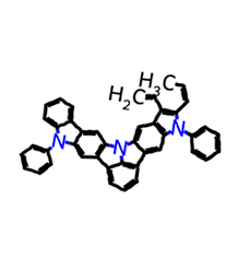 C=Cc1c(/C=C\C)n(-c2ccccc2)c2cc3c4cccc5c6cc7c(cc6n(c3cc12)c45)c1ccccc1n7-c1ccccc1